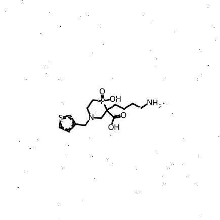 NCCCCC1(C(=O)O)CN(Cc2ccsc2)CCP1(=O)O